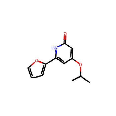 CC(C)Oc1cc(-c2ccco2)[nH]c(=O)c1